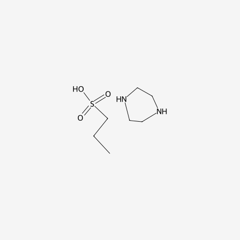 C1CNCCN1.CCCS(=O)(=O)O